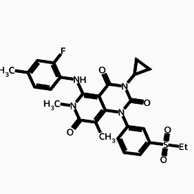 CCS(=O)(=O)c1cccc(-n2c(=O)n(C3CC3)c(=O)c3c(Nc4ccc(C)cc4F)n(C)c(=O)c(C)c32)c1